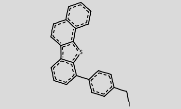 ICc1ccc(-c2cccc3c2sc2c4ccccc4ccc32)cc1